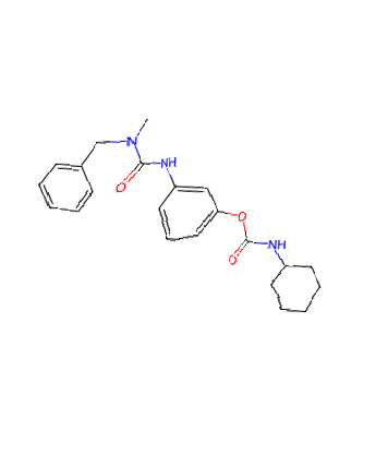 CN(Cc1ccccc1)C(=O)Nc1cccc(OC(=O)NC2CCCCC2)c1